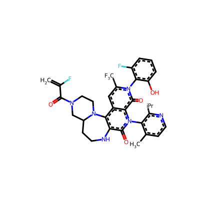 C=C(F)C(=O)N1CCN2c3c(c(=O)n(-c4c(C)ccnc4C(C)C)c4c(=O)n(-c5c(O)cccc5F)c(C(F)(F)F)cc34)NCCC2C1